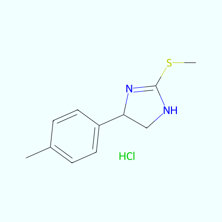 CSC1=NC(c2ccc(C)cc2)CN1.Cl